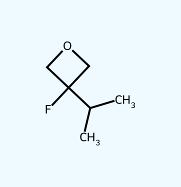 CC(C)C1(F)COC1